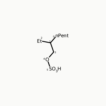 CCCCCC(CC)COS(=O)(=O)O